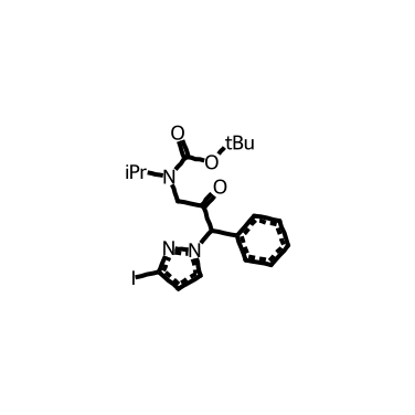 CC(C)N(CC(=O)C(c1ccccc1)n1ccc(I)n1)C(=O)OC(C)(C)C